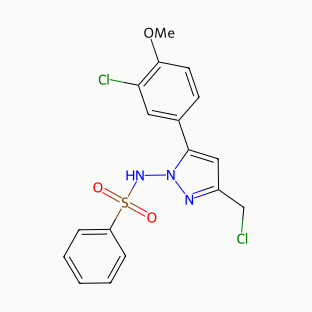 COc1ccc(-c2cc(CCl)nn2NS(=O)(=O)c2ccccc2)cc1Cl